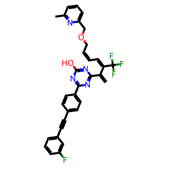 C=C(/C(=C\C=C/COCc1cccc(C)n1)C(F)(F)F)c1nc(O)nc(-c2ccc(C#Cc3cccc(F)c3)cc2)n1